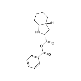 O=C(OC(=O)[C@H]1C[C@H]2CCCCC2N1)c1ccccc1